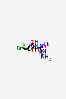 CCON=C(C(=O)NC1C(=O)N2C=C(C=C(Br)Br)CS[C@@H]12)c1nsc(N)n1